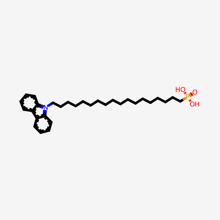 O=P(O)(O)CCCCCCCCCCCCCCCCCCn1c2ccccc2c2ccccc21